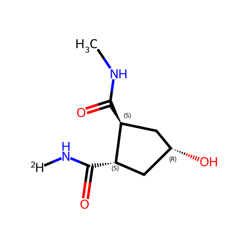 [2H]NC(=O)[C@H]1C[C@@H](O)C[C@@H]1C(=O)NC